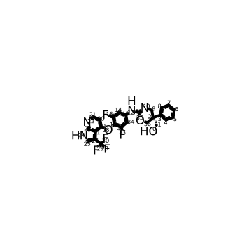 OC[C@@]1(c2ccccc2)CN=C(Nc2cc(F)c(Oc3ccnc4[nH]cc(C(F)(F)F)c34)c(F)c2)OC1